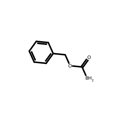 BC(=O)OCc1ccccc1